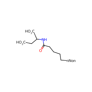 CCCCCCCCCCCCCC(=O)NC(CC(=O)O)C(=O)O